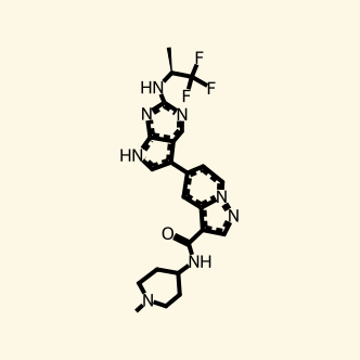 C[C@H](Nc1ncc2c(-c3ccn4ncc(C(=O)NC5CCN(C)CC5)c4c3)c[nH]c2n1)C(F)(F)F